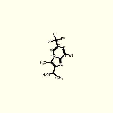 Cc1c(C(C)C)nc2c(Cl)cc(C(F)(F)F)cn12